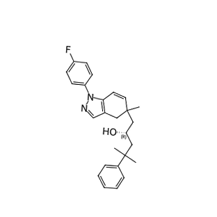 CC1(C[C@@H](O)CC(C)(C)c2ccccc2)C=Cc2c(cnn2-c2ccc(F)cc2)C1